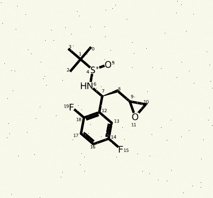 CC(C)(C)[S+]([O-])N[C@@H](CC1CO1)c1cc(F)ccc1F